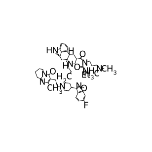 C=CCN1C[C@H](C(=O)N(CCCN(C)C)C(=O)NCC)C[C@@H]2c3cccc4[nH]cc(c34)C[C@H]21.Cc1nc2n(c(=O)c1CCN1CCC(c3noc4cc(F)ccc34)CC1)CCCC2